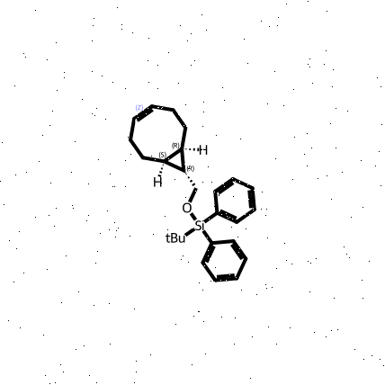 CC(C)(C)[Si](OC[C@H]1[C@@H]2CC/C=C\CC[C@@H]21)(c1ccccc1)c1ccccc1